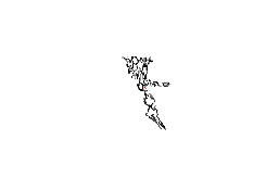 C=Cc1cnc(Nc2ccc(N3CCC(N4CCN(C)CC4)CC3)cc2OC)nc1Nc1ccc2nccnc2c1CC(C)C